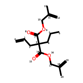 C=CCC(CCC)(C(=O)OCC(=C)C)C(=O)OCC(=C)C